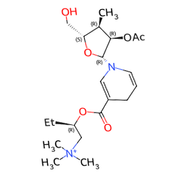 CC[C@H](C[N+](C)(C)C)OC(=O)C1=CN([C@@H]2O[C@H](CO)[C@@H](C)[C@H]2OC(C)=O)C=CC1